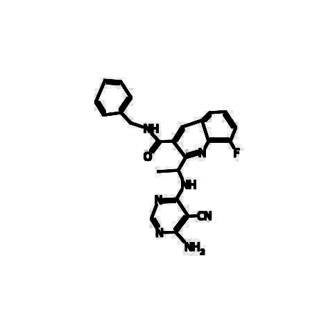 CC(Nc1ncnc(N)c1C#N)c1nc2c(F)cccc2cc1C(=O)NCc1ccccc1